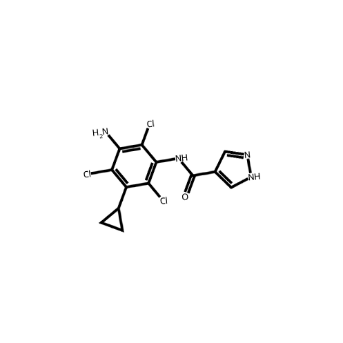 Nc1c(Cl)c(NC(=O)c2cn[nH]c2)c(Cl)c(C2CC2)c1Cl